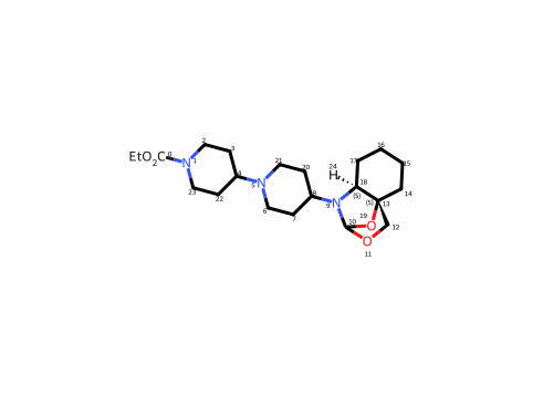 CCOC(=O)N1CCC(N2CCC(N3C4OC[C@@]5(CCCC[C@H]35)O4)CC2)CC1